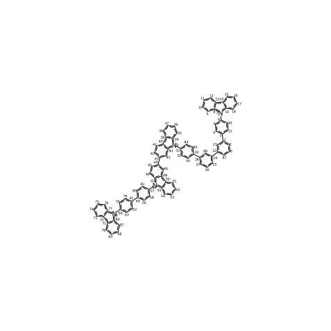 c1cc(-c2ccc(-n3c4ccccc4c4ccccc43)cc2)cc(-c2cccc(-c3ccc(-n4c5ccccc5c5ccc(-c6ccc7c(c6)c6ccccc6n7-c6ccc(-c7ccc(-n8c9ccccc9c9ccccc98)cc7)cc6)cc54)cc3)c2)c1